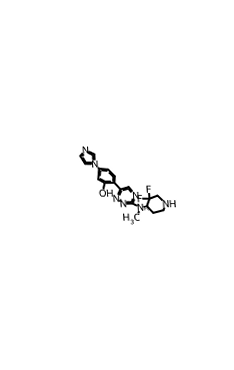 CN(c1ncc(-c2ccc(-n3ccnc3)cc2O)nn1)[C@@H]1CCNCC1(F)F